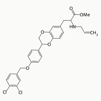 C=CCNC(Cc1ccc2c(c1)OCC(c1ccc(OCc3ccc(Cl)c(Cl)c3)cc1)O2)C(=O)OC